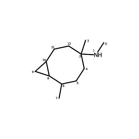 CNC1(C)CCC(C)C2CC2CC1